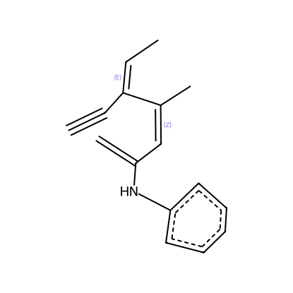 C#CC(=C/C)/C(C)=C\C(=C)Nc1ccccc1